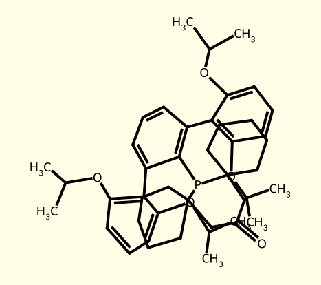 CC(C)Oc1cccc(OC(C)C)c1-c1cccc(-c2c(OC(C)C)cccc2OC(C)C)c1P1C2(CCCCC2)CC(=O)CC12CCCCC2